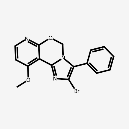 COc1ccnc2c1-c1nc(Br)c(-c3ccccc3)n1CO2